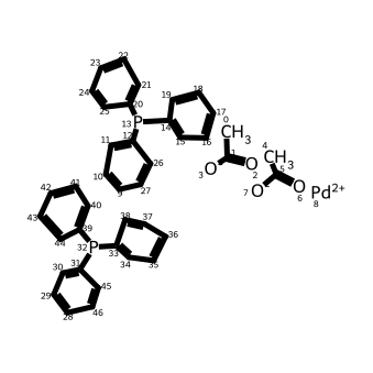 CC(=O)[O-].CC(=O)[O-].[Pd+2].c1ccc(P(c2ccccc2)c2ccccc2)cc1.c1ccc(P(c2ccccc2)c2ccccc2)cc1